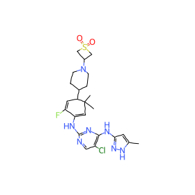 Cc1cc(Nc2nc(NC3=CC(C)(C)C(C4CCN(C5CS(=O)(=O)C5)CC4)C=C3F)ncc2Cl)n[nH]1